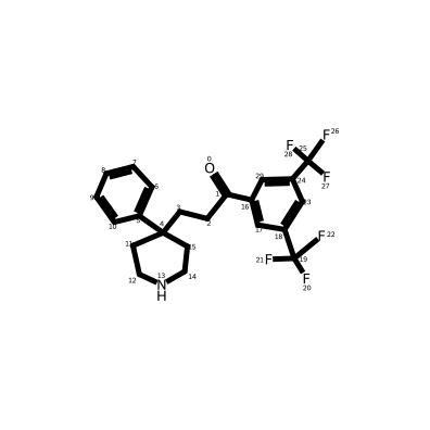 O=C(CCC1(c2ccccc2)CCNCC1)c1cc(C(F)(F)F)cc(C(F)(F)F)c1